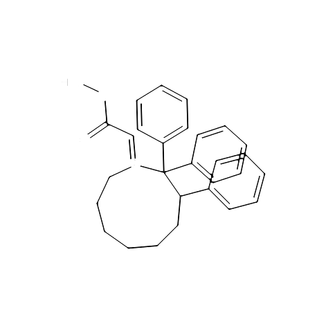 COC(=O)C=[P]1CCCCCCC(c2ccccc2)C1(c1ccccc1)c1ccccc1